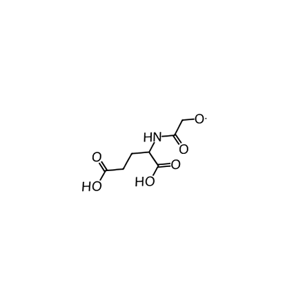 [O]CC(=O)NC(CCC(=O)O)C(=O)O